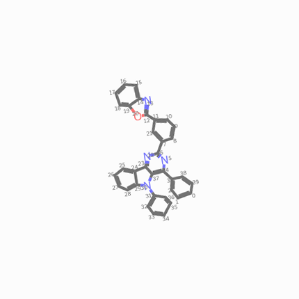 c1ccc(-c2nc(-c3cccc(-c4nc5ccccc5o4)c3)nc3c4ccccc4n(-c4ccccc4)c23)cc1